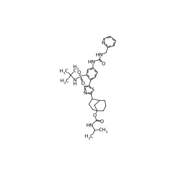 CC(C)NC(=O)OC12CCCC(C1)C(c1ncc(-c3ccc(NC(=O)NCc4ccccn4)cc3S(=O)(=O)NC(C)(C)C)s1)CC2